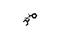 CCc1cn([C@@H](C)c2ccccc2)nc1C